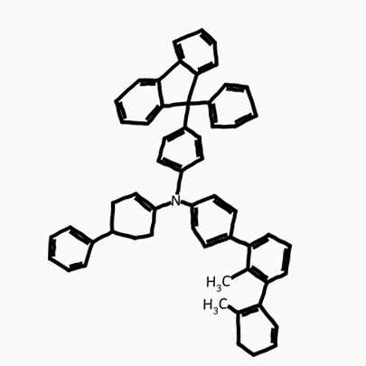 CC1=C(c2cccc(-c3ccc(N(C4=CCC(c5ccccc5)CC4)c4ccc(C5(c6ccccc6)c6ccccc6-c6ccccc65)cc4)cc3)c2C)C=CCC1